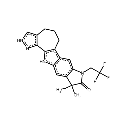 CC1(C)C(=O)N(CC(F)(F)F)c2cc3c4c([nH]c3cc21)-c1n[nH]cc1CCC4